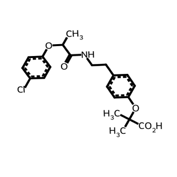 CC(Oc1ccc(Cl)cc1)C(=O)NCCc1ccc(OC(C)(C)C(=O)O)cc1